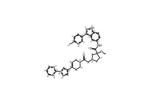 CO[C@@]1(C(=O)Nc2ccc3[nH]nc(-c4ccc(F)nc4)c3c2)CCN(CC(=O)N2CC=C(c3cnn(-c4ncccn4)c3)CC2)C1